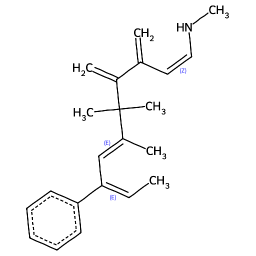 C=C(/C=C\NC)C(=C)C(C)(C)/C(C)=C/C(=C\C)c1ccccc1